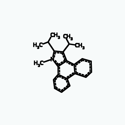 CC(C)c1c(C(C)C)n(C)c2c3ccccc3c3ccccc3c12